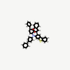 c1ccc(-c2ccc(N(c3ccc(-c4ccccc4)cc3)c3cc4sc5ccccc5c4cc3-c3ccc4ccccc4c3)cc2)cc1